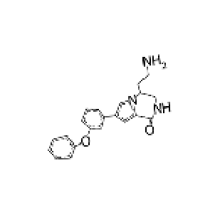 NCCC1CNC(=O)c2cc(-c3cccc(Oc4ccccc4)c3)cn21